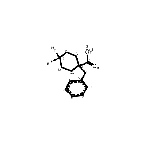 O=C(O)C1(Cc2ccccc2)CCC(F)(F)CC1